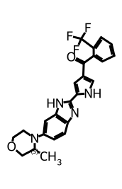 C[C@H]1COCCN1c1ccc2nc(-c3cc(C(=O)c4ccccc4C(F)(F)F)c[nH]3)[nH]c2c1